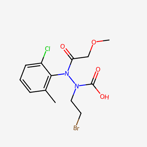 COCC(=O)N(c1c(C)cccc1Cl)N(CCBr)C(=O)O